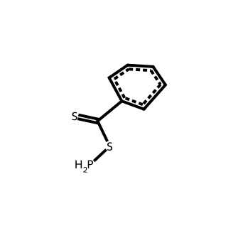 PSC(=S)c1ccccc1